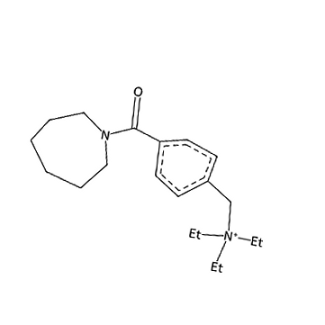 CC[N+](CC)(CC)Cc1ccc(C(=O)N2CCCCCC2)cc1